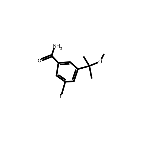 COC(C)(C)c1cc(F)cc(C(N)=O)c1